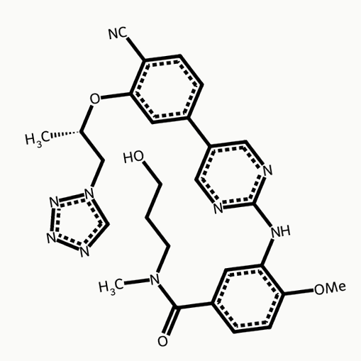 COc1ccc(C(=O)N(C)CCCO)cc1Nc1ncc(-c2ccc(C#N)c(O[C@@H](C)Cn3cnnn3)c2)cn1